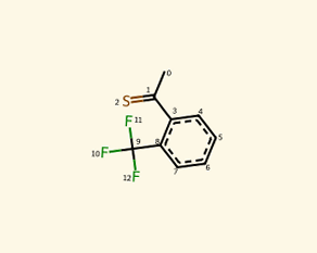 CC(=S)c1ccccc1C(F)(F)F